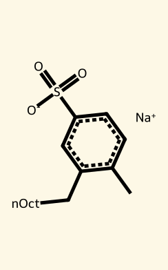 CCCCCCCCCc1cc(S(=O)(=O)[O-])ccc1C.[Na+]